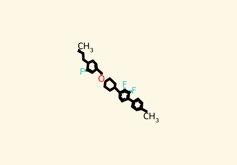 CCCCC1CC=C(COC2CCC(c3ccc(-c4ccc(CC)cc4)c(F)c3F)CC2)C=C1F